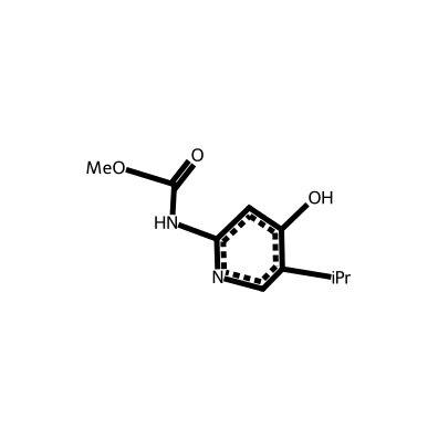 COC(=O)Nc1cc(O)c(C(C)C)cn1